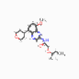 CCC(C)OCC(=O)Nc1cnc2c(C3CCOCC3)ccc(OC)c2n1